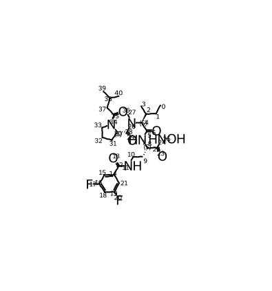 CCC(C)[C@@H](C(=O)N[C@@H](CCNC(=O)c1cc(F)cc(F)c1)C(=O)NO)N(C)C(=O)[C@@H]1CCCN1C(=O)CC(C)C